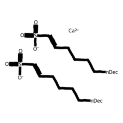 CCCCCCCCCCCCCCC=CS(=O)(=O)[O-].CCCCCCCCCCCCCCC=CS(=O)(=O)[O-].[Ca+2]